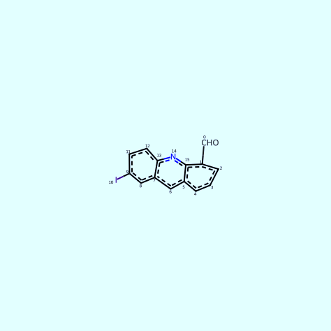 O=Cc1cccc2cc3cc(I)ccc3nc12